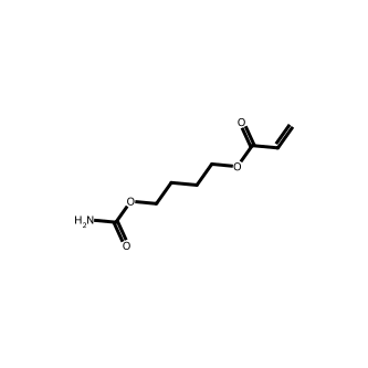 C=CC(=O)OCCCCOC(N)=O